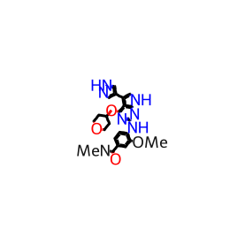 CNC(=O)c1ccc(Nc2nc(OC3CCOCC3)c3c(-c4cn[nH]c4)c[nH]c3n2)c(OC)c1